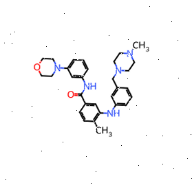 Cc1ccc(C(=O)Nc2cccc(N3CCOCC3)c2)cc1Nc1cccc(CN2CCN(C)CC2)c1